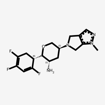 Cn1ncc2c1CN([C@@H]1COC([C@H]3CC(F)=C(F)C=C3F)[C@@H](N)C1)C2